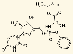 CC(C)OC(=O)[C@H](C)N[P@](=O)(OC[C@H]1O[C@@H](n2ccc(=O)[nH]c2=O)[C@@H](C)[C@@H]1O)Oc1ccccc1